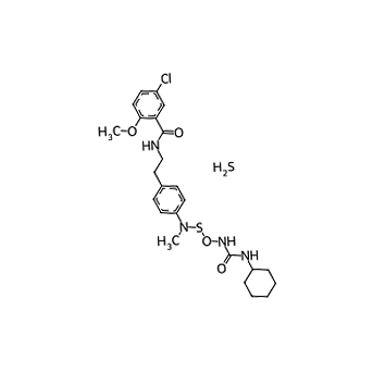 COc1ccc(Cl)cc1C(=O)NCCc1ccc(N(C)SONC(=O)NC2CCCCC2)cc1.S